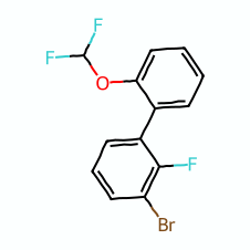 Fc1c(Br)cccc1-c1ccccc1OC(F)F